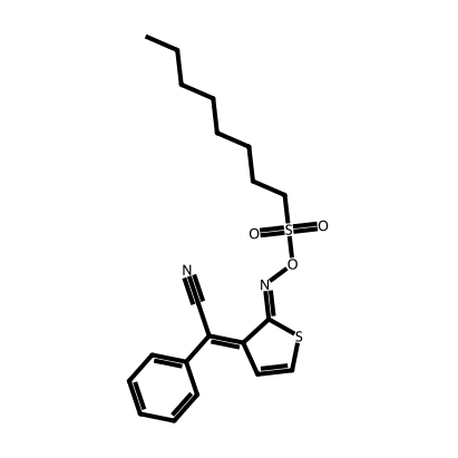 CCCCCCCCS(=O)(=O)O/N=C1\SC=C\C1=C(\C#N)c1ccccc1